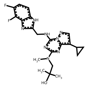 CN(CC(C)(C)O)c1nc(NCc2nc3c(F)c(F)ccc3[nH]2)n2ncc(C3CC3)c2n1